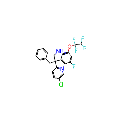 NCC(Cc1ccccc1)(c1cc(F)cc(OC(F)(F)C(F)F)c1)c1ccc(Cl)cn1